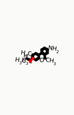 C=C(/C=C\C(=C/C(C)CC)c1ccc(N)cc1C(C)=O)CCC